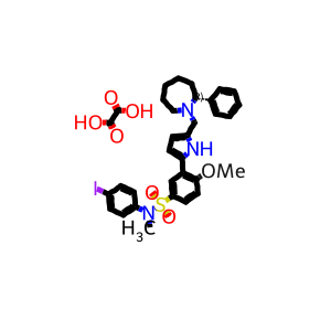 COc1ccc(S(=O)(=O)N(C)c2ccc(I)cc2)cc1-c1ccc(CN2CCCCC[C@@H]2c2ccccc2)[nH]1.O=C(O)C(=O)O